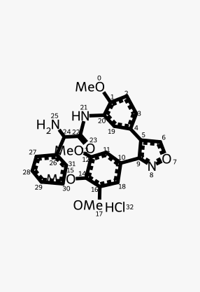 COc1ccc(-c2conc2-c2cc(OC)c(OC)c(OC)c2)cc1NC(=O)C(N)c1ccccc1.Cl